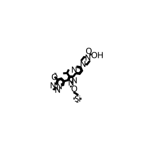 COc1cc(-c2c(C(C)C)c(-c3ccc(N4CCN(C(=O)O)CC4)cn3)nn2COCC[Si](C)(C)C)cn2ncnc12